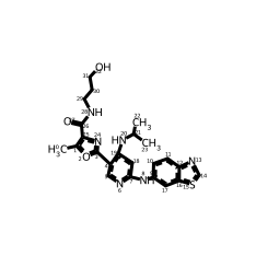 Cc1oc(-c2cnc(Nc3ccc4ncsc4c3)cc2NC(C)C)nc1C(=O)NCCCO